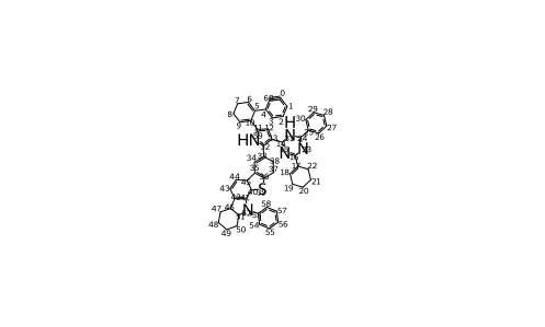 c1cccc(C2=CCCC=C2c2cc(C3N=C(C4=CCCCC4)N=C(c4ccccc4)N3)c(C3=CC4=C(CC3)SC3C5=C(C=CC43)C3CCCCC3N5c3ccccc3)[nH]2)c#1